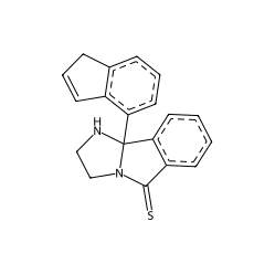 S=C1c2ccccc2C2(c3cccc4c3C=CC4)NCCN12